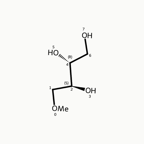 COC[C@H](O)[C@H](O)CO